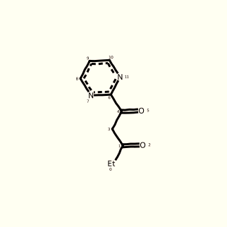 CCC(=O)CC(=O)c1ncccn1